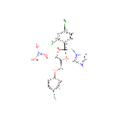 Fc1ccc(OCC2COC(Cn3ccnc3)(c3ccc(Cl)cc3Cl)O2)cc1.O=[N+]([O-])O